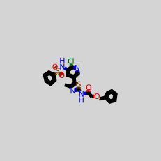 Cc1nc(NC(=O)COCc2ccccc2)sc1-c1cnc(Cl)c(NS(=O)(=O)c2ccccc2)c1